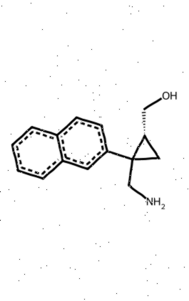 NCC1(c2ccc3ccccc3c2)C[C@H]1CO